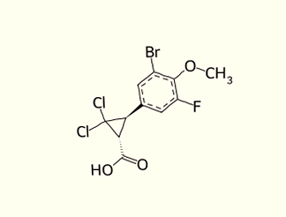 COc1c(F)cc([C@H]2[C@H](C(=O)O)C2(Cl)Cl)cc1Br